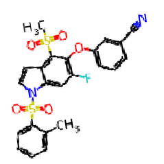 Cc1ccccc1S(=O)(=O)n1ccc2c(S(C)(=O)=O)c(Oc3cccc(C#N)c3)c(F)cc21